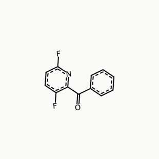 O=C(c1ccccc1)c1nc(F)ccc1F